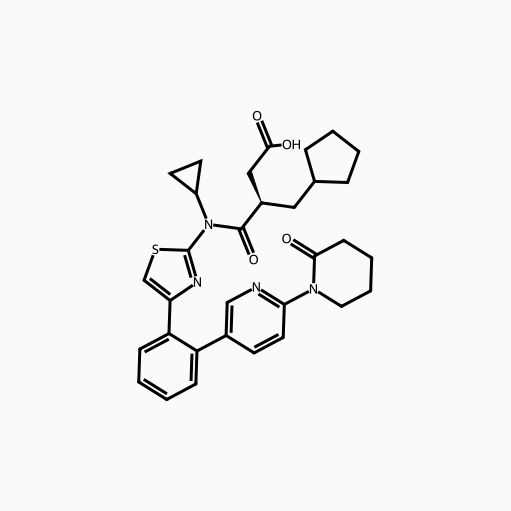 O=C(O)C[C@@H](CC1CCCC1)C(=O)N(c1nc(-c2ccccc2-c2ccc(N3CCCCC3=O)nc2)cs1)C1CC1